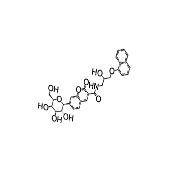 O=C(NCC(O)COc1cccc2ccccc12)c1cc2ccc([C@@H]3O[C@H](CO)[C@H](O)[C@H](O)[C@H]3O)cc2oc1=O